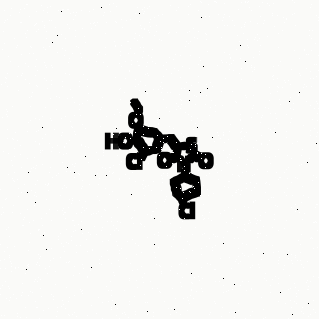 CCOc1cc(C=C2SC(=O)N(c3ccc(Cl)cc3)C2=O)cc(Cl)c1O